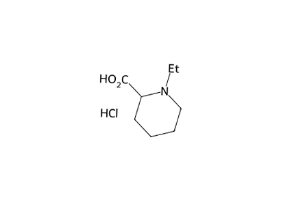 CCN1CCCCC1C(=O)O.Cl